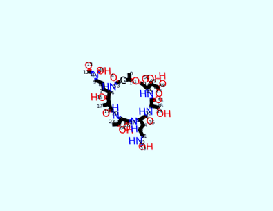 CC1CC(=O)NC(CCCN(O)C=O)C(O)C(C)C(=O)NC(C(C)O)C(=O)NC(CCCNO)C(=O)NC(CO)C(=O)NC(C(O)C(=O)O)C(=O)O1